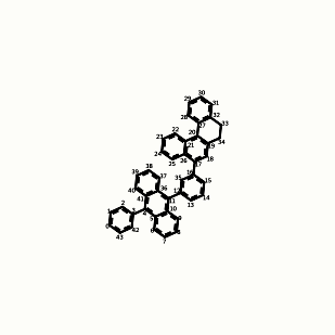 c1ccc(-c2c3ccccc3c(-c3cccc(-c4cc5c(c6ccccc46)-c4ccccc4CC5)c3)c3ccccc23)cc1